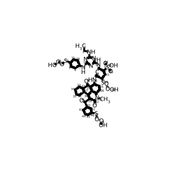 CCNc1nc(Nc2ccc(SOOO)cc2)nc(Nc2cc(Nc3ccc4c5c3C(=O)c3ccccc3-c5c(C(=O)c3cccc(SOOO)c3)c(=O)n4C)c(SOOO)cc2S(=O)(=O)O)n1